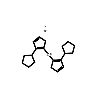 C1=CC(C2CCCC2)=[C]([Zr+2][C]2=C(C3CCCC3)C=CC2)C1.[Br-].[Br-]